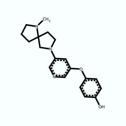 CN1CCCC12CCN(c1cncc(Oc3ccc(O)cc3)c1)C2